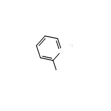 [AlH3].[CH2]c1ccccn1